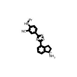 CC(C)Bc1ccc(-c2nsc(-c3cccc4c3CC[C@@H]4N)n2)cc1C#N